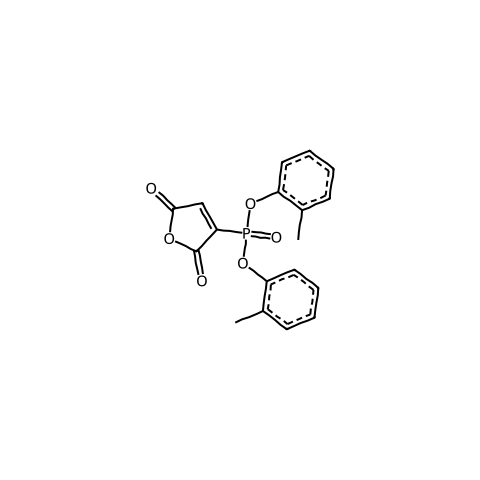 Cc1ccccc1OP(=O)(Oc1ccccc1C)C1=CC(=O)OC1=O